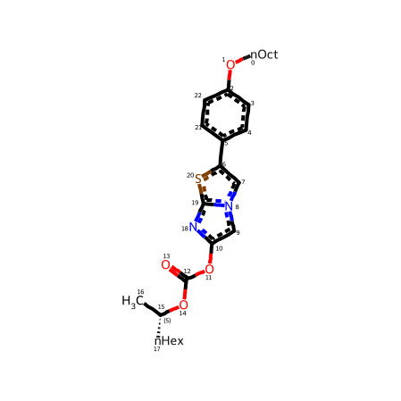 CCCCCCCCOc1ccc(-c2cn3cc(OC(=O)O[C@@H](C)CCCCCC)nc3s2)cc1